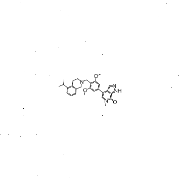 COc1cc(-c2cn(C)c(=O)c3[nH]ncc23)cc(OC)c1CN1CCc2c(cccc2C(C)C)C1